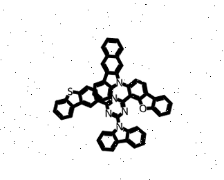 c1ccc2cc3c(cc2c1)c1ccccc1n3-c1ccc2c(oc3ccccc32)c1-c1nc(-c2ccc3sc4ccccc4c3c2)nc(-n2c3ccccc3c3ccccc32)n1